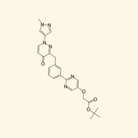 Cn1cc(-n2ccc(=O)c(Cc3cccc(-c4ncc(OCC(=O)OC(C)(C)C)cn4)c3)n2)cn1